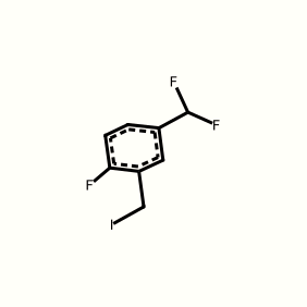 Fc1ccc(C(F)F)cc1CI